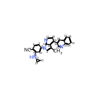 Cc1cn(-c2ccc(C#N)c(NC3CC3)c2)c2nccc(-c3cnc4ccccc4c3)c12